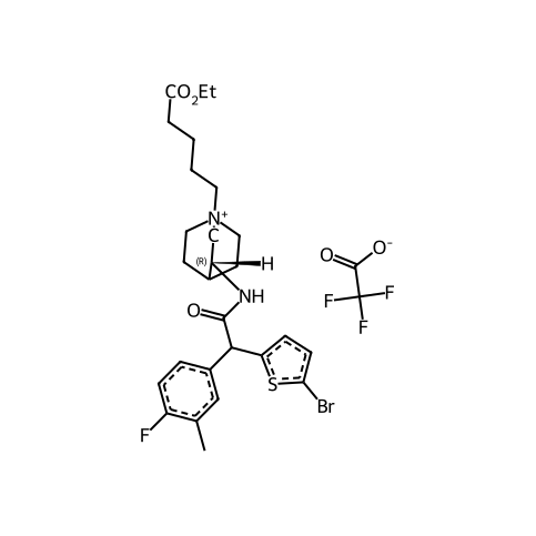 CCOC(=O)CCCC[N+]12CCC(CC1)[C@@H](NC(=O)C(c1ccc(F)c(C)c1)c1ccc(Br)s1)C2.O=C([O-])C(F)(F)F